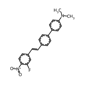 CN(C)c1ccc(-c2ccc(C=Cc3ccc([N+](=O)[O-])c(F)c3)cc2)cc1